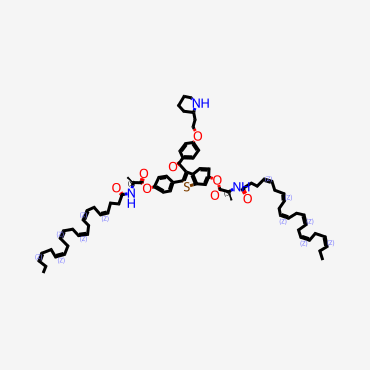 CC/C=C\C/C=C\C/C=C\C/C=C\C/C=C\C/C=C\CCC(=O)N[C@@H](C)C(=O)Oc1ccc(-c2sc3cc(OC(=O)[C@H](C)NC(=O)CC/C=C\C/C=C\C/C=C\C/C=C\C/C=C\C/C=C\CC)ccc3c2C(=O)c2ccc(OCCC3CCCCN3)cc2)cc1